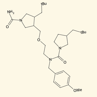 COc1ccc(CN(CCOCC2CN(C(N)=O)CC2CC(C)(C)C)C(=O)N2CCC(CC(C)(C)C)C2)cc1